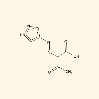 CC(=O)C(N=Nc1cn[nH]c1)C(=O)O